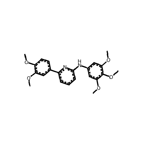 COc1ccc(-c2cccc(Nc3cc(OC)c(OC)c(OC)c3)n2)cc1OC